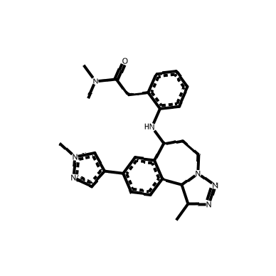 CC1N=NN2CCC(Nc3ccccc3CC(=O)N(C)C)c3cc(-c4cnn(C)c4)ccc3C12